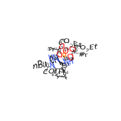 CCCCC(C(=O)O)N(C)c1ccccc1C(=N)NP(=O)(OC(OC(=O)OCC)C(C)C)OC(OC(=O)OCC)C(C)C